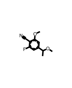 COc1cc(C(C)OC)cc(F)c1C#N